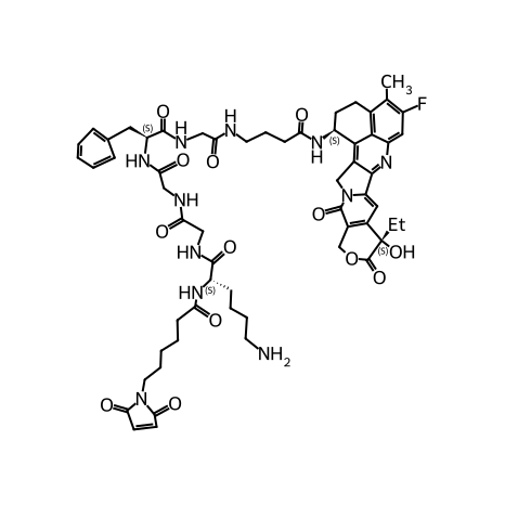 CC[C@@]1(O)C(=O)OCc2c1cc1n(c2=O)Cc2c-1nc1cc(F)c(C)c3c1c2[C@@H](NC(=O)CCCNC(=O)CNC(=O)[C@H](Cc1ccccc1)NC(=O)CNC(=O)CNC(=O)[C@H](CCCCN)NC(=O)CCCCCN1C(=O)C=CC1=O)CC3